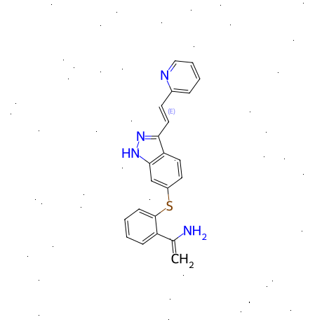 C=C(N)c1ccccc1Sc1ccc2c(/C=C/c3ccccn3)n[nH]c2c1